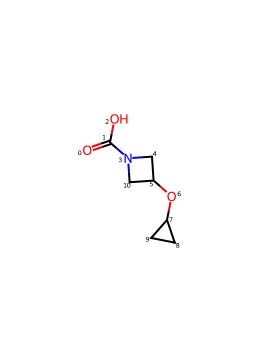 O=C(O)N1CC(OC2CC2)C1